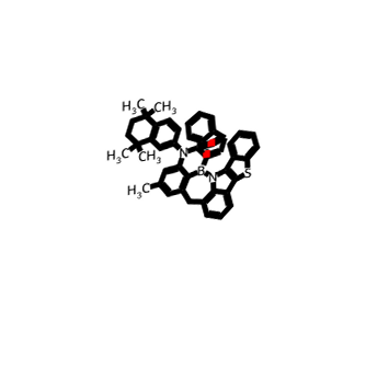 Cc1cc2c3c(c1)N(c1ccc4c(c1)C(C)(C)CCC4(C)C)c1ccc4c(sc5ccccc54)c1B3n1c3c(cccc3c3sc4ccccc4c31)C2